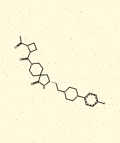 CC(=O)N1CCC1C(=O)N1CCC2(CC1)C[C@H](CCN1CCN(c3ccc(F)cc3)CC1)NC2=O